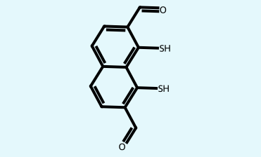 O=Cc1ccc2ccc(C=O)c(S)c2c1S